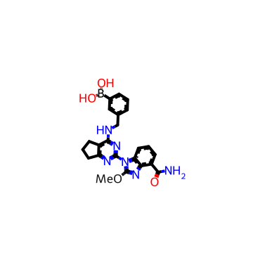 COc1nc2c(C(N)=O)cccc2n1-c1nc2c(c(NCc3cccc(B(O)O)c3)n1)CCC2